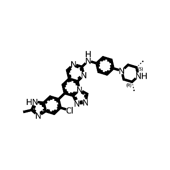 Cc1nc2cc(Cl)c(-c3cc4cnc(Nc5ccc(N6C[C@@H](C)N[C@@H](C)C6)cc5)nc4n4cnnc34)cc2[nH]1